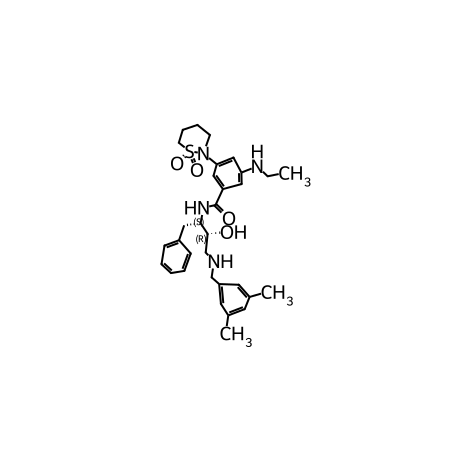 CCNc1cc(C(=O)N[C@@H](Cc2ccccc2)[C@H](O)CNCc2cc(C)cc(C)c2)cc(N2CCCCS2(=O)=O)c1